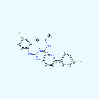 CC(C)Nc1nc(Nc2ccc(F)cc2)nc2ccc(-c3ccc(F)cc3)nc12